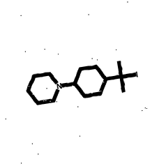 CC(C)(I)C1CCC(N2CCCCC2)CC1